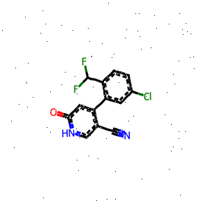 N#Cc1c[nH]c(=O)cc1-c1cc(Cl)ccc1C(F)F